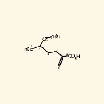 C=C(CCC(CCCC)OCCCC)C(=O)O